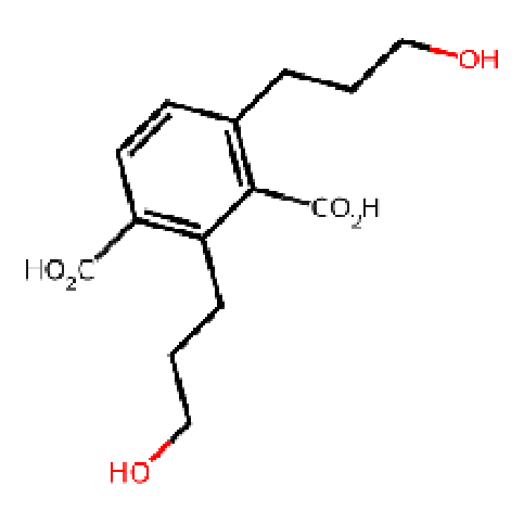 O=C(O)c1ccc(CCCO)c(C(=O)O)c1CCCO